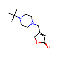 CC(C)(C)N1CCN(CC2=CC(=O)OC2)CC1